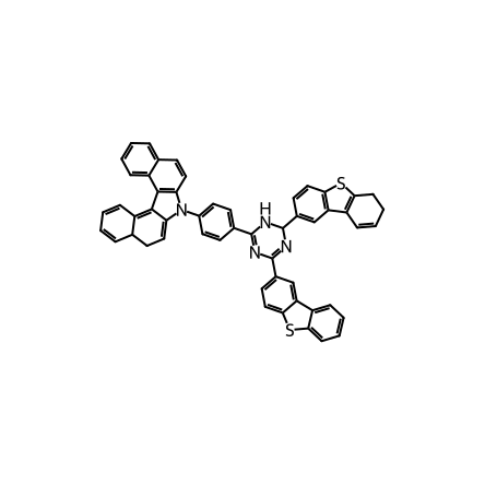 C1=CC2=c3c(n(-c4ccc(C5=NC(c6ccc7sc8ccccc8c7c6)=NC(c6ccc7sc8c(c7c6)C=CCC8)N5)cc4)c4ccc5ccccc5c34)=CCC2C=C1